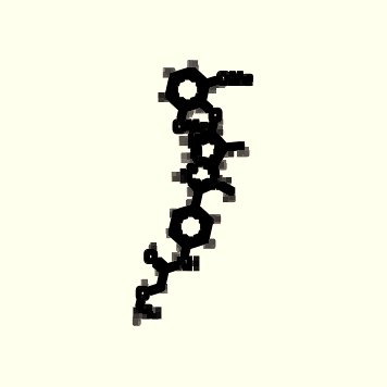 CCCCOCC(=O)Nc1ccc(-c2nn3nc(Oc4c(OC)cccc4OC)c(C)c3n2C)cc1